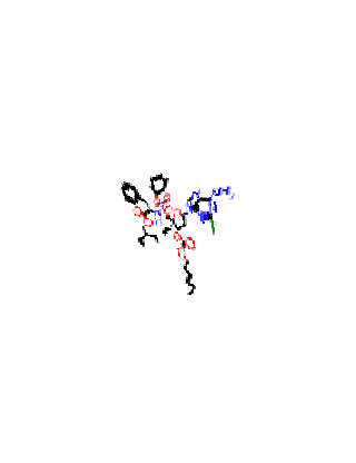 C#C[C@]1(CO[P@@](=O)(N[C@@H](Cc2ccccc2)C(=O)OCC(CC)CC)Oc2ccccc2)O[C@@H](n2cnc3c(N)nc(F)nc32)C[C@@H]1OC(=O)OCCCCCC